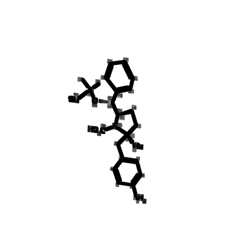 CC(C)(C)[C@]1(Cc2ccc(N)cc2)CC[C@H]([C@H](O[Si](C)(C)C(C)(C)C)c2ccccc2)N1C(=O)O